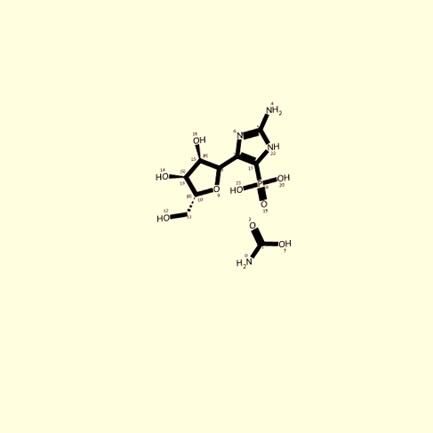 NC(=O)O.Nc1nc(C2O[C@H](CO)[C@@H](O)[C@H]2O)c(P(=O)(O)O)[nH]1